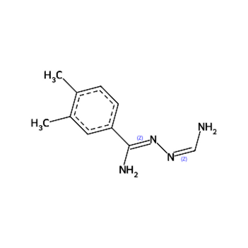 Cc1ccc(/C(N)=N/N=C\N)cc1C